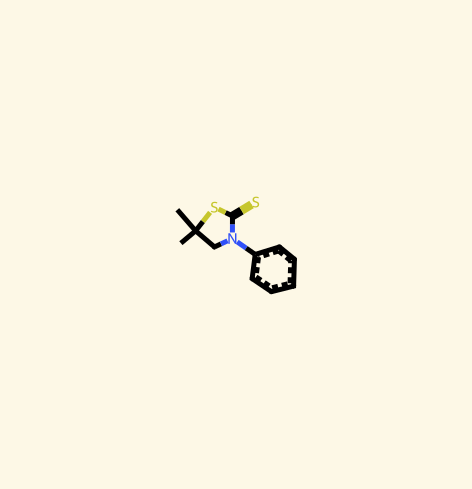 CC1(C)CN(c2ccccc2)C(=S)S1